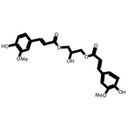 COc1cc(C=CC(=O)OCC(O)COC(=O)C=Cc2ccc(O)c(OC)c2)ccc1O